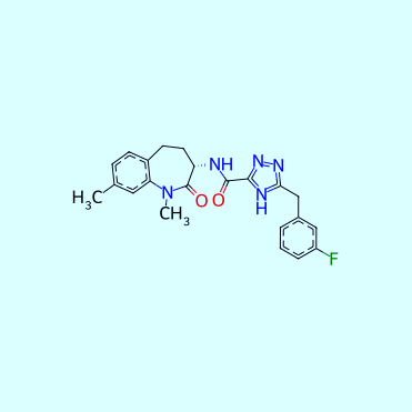 Cc1ccc2c(c1)N(C)C(=O)[C@@H](NC(=O)c1nnc(Cc3cccc(F)c3)[nH]1)CC2